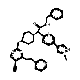 C#Cc1cnc(C[C@H]2CC[C@H](C(C(=O)NCc3ccccc3)c3ccc(-c4cnn(C)c4)cn3)CC2)nc1CCc1cccnc1